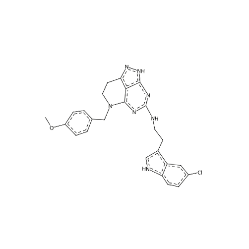 COc1ccc(CN2CCc3n[nH]c4nc(NCCc5c[nH]c6ccc(Cl)cc56)nc2c34)cc1